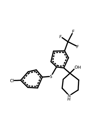 OC1(c2cc(C(F)(F)F)ccc2Sc2ccc(Cl)cc2)CCNCC1